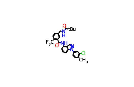 Cc1ccc(-n2ncc3c(NC(=O)c4cc(CNC(=O)C(C)(C)C)ccc4C(F)(F)F)cccc32)cc1Cl